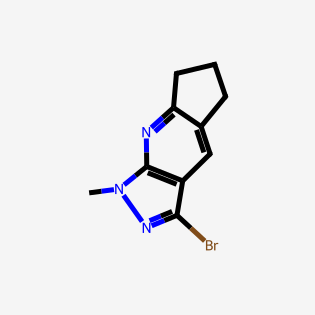 Cn1nc(Br)c2cc3c(nc21)CCC3